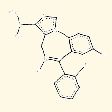 CN(C)c1ncn2c1C[N+]([O-])=C(c1ccccc1F)c1cc(Cl)ccc1-2